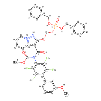 CC(C)(C)OC(=O)N(C(=O)c1c(OCOP(=O)(OCc2ccccc2)OCc2ccccc2)nn2ccccc12)c1c(F)c(F)c(-c2cccc(OC(F)(F)F)c2)c(F)c1F